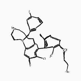 Cc1ccc(OCCO)c(F)c1-c1c(Cl)c(F)cc2c1CC1(c3cccc(F)c3)CNCCN21